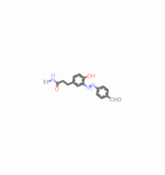 CCNC(=O)CCc1ccc(O)c(/N=N/c2ccc(C=O)cc2)c1